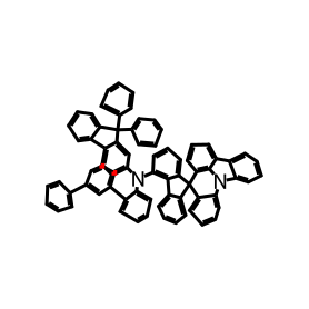 c1ccc(-c2cccc(-c3ccccc3N(c3ccc4c(c3)C(c3ccccc3)(c3ccccc3)c3ccccc3-4)c3cccc4c3-c3ccccc3C43c4ccccc4-n4c5ccccc5c5cccc3c54)c2)cc1